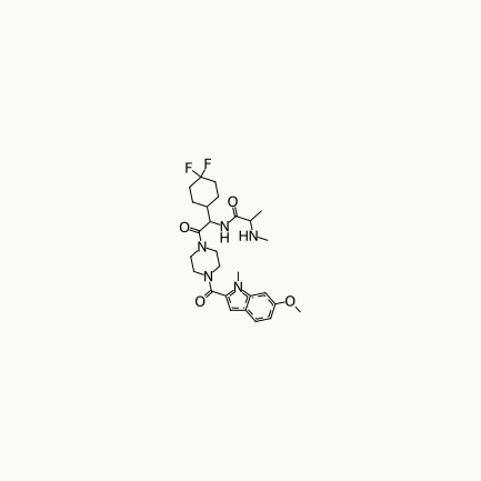 CNC(C)C(=O)NC(C(=O)N1CCN(C(=O)c2cc3ccc(OC)cc3n2C)CC1)C1CCC(F)(F)CC1